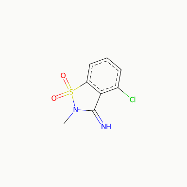 CN1C(=N)c2c(Cl)cccc2S1(=O)=O